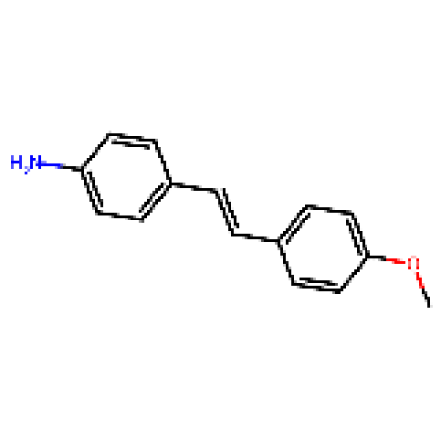 COc1ccc(/C=C/c2ccc(N)cc2)cc1